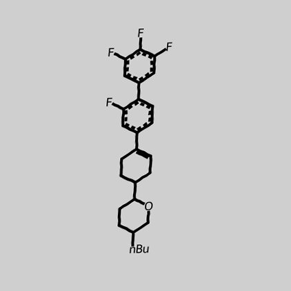 CCCCC1CCC(C2CC=C(c3ccc(-c4cc(F)c(F)c(F)c4)c(F)c3)CC2)OC1